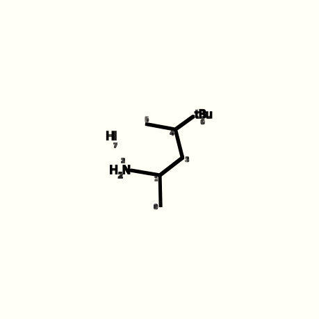 CC(N)CC(C)C(C)(C)C.I